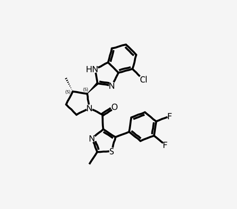 Cc1nc(C(=O)N2CC[C@H](C)[C@H]2c2nc3c(Cl)cccc3[nH]2)c(-c2ccc(F)c(F)c2)s1